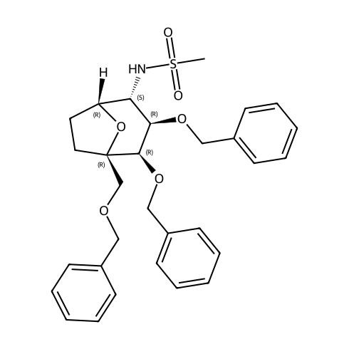 CS(=O)(=O)N[C@@H]1[C@@H](OCc2ccccc2)[C@@H](OCc2ccccc2)[C@]2(COCc3ccccc3)CC[C@H]1O2